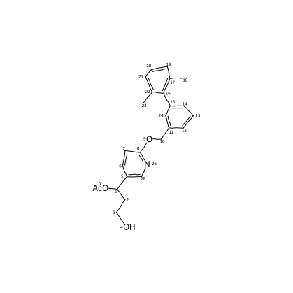 CC(=O)OC(CCO)c1ccc(OCc2cccc(-c3c(C)cccc3C)c2)nc1